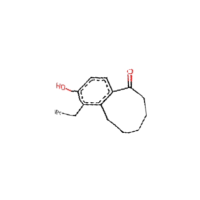 CC(C)Cc1c(O)ccc2c1CCCCCC2=O